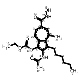 CCCCCCc1c(NC(C)=O)c(OC(=O)OCC)c2ccc(C(=O)NO)cc(C)c1-2